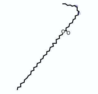 CCCCC/C=C\C/C=C\CCCCCCCC(=O)OCCCCCCCCCCCCCCCCCCCCCCCCCCCCC